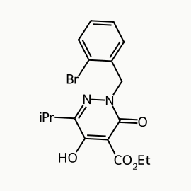 CCOC(=O)c1c(O)c(C(C)C)nn(Cc2ccccc2Br)c1=O